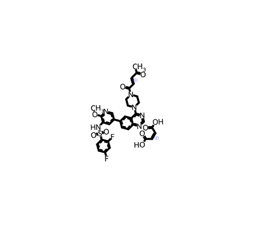 COc1ncc(-c2ccc3ncnc(N4CCN(C(=O)/C=C/C(C)=O)CC4)c3c2)cc1NS(=O)(=O)c1ccc(F)cc1F.O=C(O)/C=C\C(=O)O